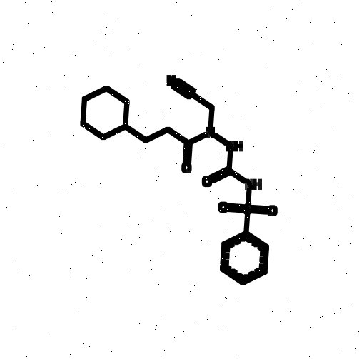 N#CCN(NC(=O)NS(=O)(=O)c1ccccc1)C(=O)CCC1CCCCC1